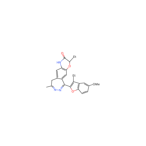 CCc1c(C2=NN=C(C)Cc3cc4c(cc32)OC(CC)C(=O)N4)oc2ccc(OC)cc12